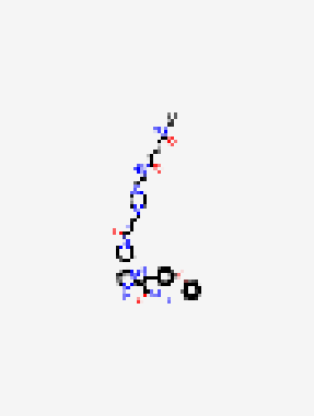 CCNC(=O)CCCC(=O)NCCN1CCN(C/C=C/C(=O)N2CCC([C@@H]3CCNc4c(C(N)=O)c(-c5ccc(Oc6ccccc6)cc5)nn43)CC2)CC1